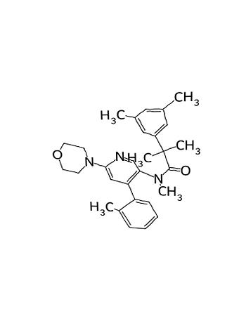 Cc1cc(C)cc(C(C)(C)C(=O)N(C)c2cnc(N3CCOCC3)cc2-c2ccccc2C)c1